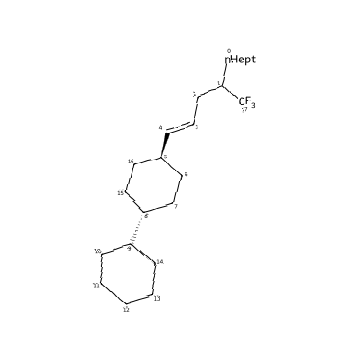 CCCCCCCC(CC=C[C@H]1CC[C@H](C2CCCCC2)CC1)C(F)(F)F